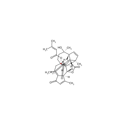 C=C1C(=O)O[C@@H]2[C@@H]3[C@@]4(C=C[C@@]3(C)[C@@]3(C4)C(=O)O[C@@H]4[C@H]5C(C)=CC(=O)C5=C(C)C[C@H](OC(=O)C=C(C)C)[C@H]43)[C@](C)(O)CC[C@@H]12